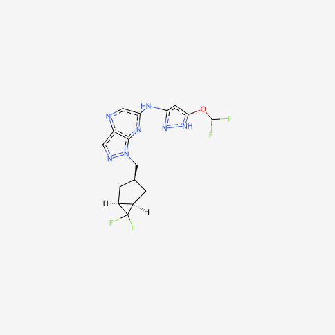 FC(F)Oc1cc(Nc2cnc3cnn(C[C@H]4C[C@@H]5[C@H](C4)C5(F)F)c3n2)n[nH]1